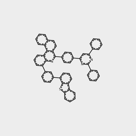 c1ccc(-c2cc(-c3ccc(-c4nc5c(-c6cccc(-c7cccc8c7sc7ccccc78)c6)cccc5c5c4ccc4ccccc45)cc3)nc(-c3ccccc3)n2)cc1